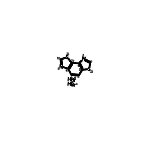 Br.Br.c1nc2c(ccc3ncsc32)s1